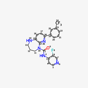 O=C(Nc1ccncc1F)N1CCCNc2ccc(-c3cccc(C(F)(F)F)c3)nc21